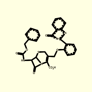 O=C(NC1C(=O)N2C(C(=O)O)=C(COc3ccccc3-c3nc4ccccc4c(=O)[nH]3)CSC12)OCc1ccccc1